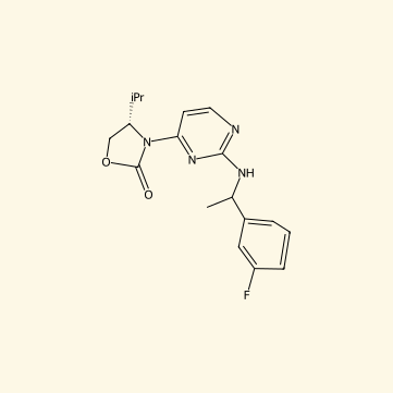 CC(Nc1nccc(N2C(=O)OC[C@@H]2C(C)C)n1)c1cccc(F)c1